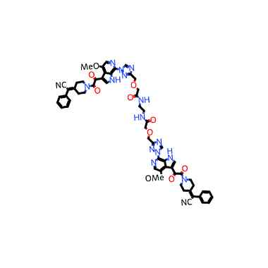 COc1cnc(-n2cnc(COCC(=O)NCCNC(=O)COCc3ncn(-c4ncc(OC)c5c(C(=O)C(=O)N6CCC(=C(C#N)c7ccccc7)CC6)c[nH]c45)n3)n2)c2[nH]cc(C(=O)C(=O)N3CCC(=C(C#N)c4ccccc4)CC3)c12